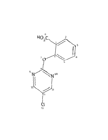 O=C(O)c1ccccc1Oc1ncc(Cl)cn1